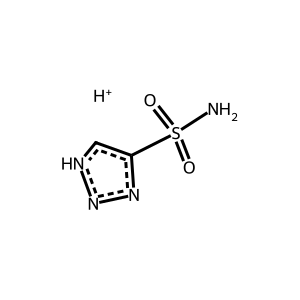 NS(=O)(=O)c1c[nH]nn1.[H+]